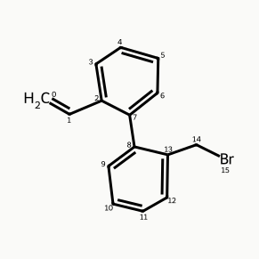 C=Cc1ccccc1-c1ccccc1CBr